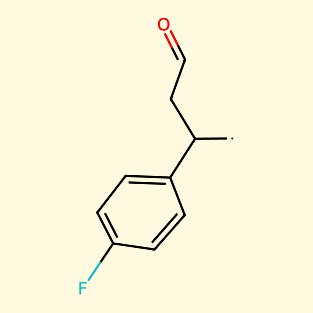 [CH2]C(CC=O)c1ccc(F)cc1